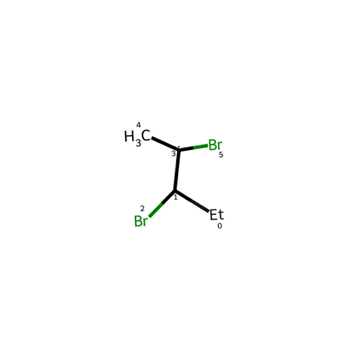 CCC(Br)[C](C)Br